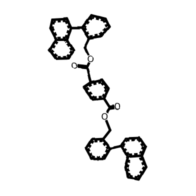 O=C(OCc1ccccc1-c1cccc2ccccc12)c1ccc(C(=O)OCc2ccccc2-c2cccc3ccccc23)cc1